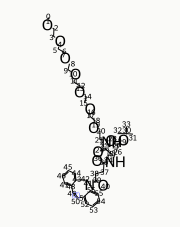 COCCOCCOCCOCCOCCOCCOCCNC(=O)[C@H](CC(=O)OC(C)(C)C)NC(=O)CCC(=O)N1Cc2ccccc2/C=C\c2ccccc21